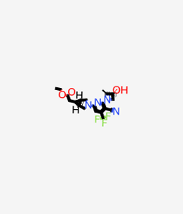 CCOC(=O)CC1[C@H]2CN(c3cc(C(F)(F)F)c(C#N)c(N4C[C@@H](O)[C@@H]4C)n3)C[C@@H]12